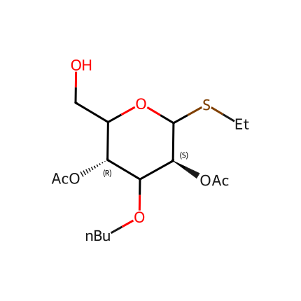 CCCCOC1[C@H](OC(C)=O)C(CO)OC(SCC)[C@H]1OC(C)=O